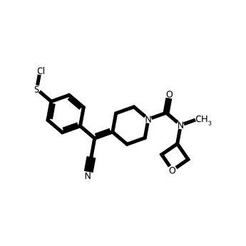 CN(C(=O)N1CCC(=C(C#N)c2ccc(SCl)cc2)CC1)C1COC1